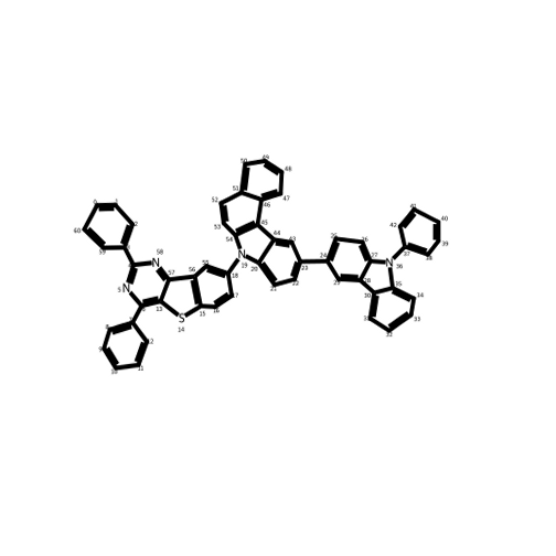 c1ccc(-c2nc(-c3ccccc3)c3sc4ccc(-n5c6ccc(-c7ccc8c(c7)c7ccccc7n8-c7ccccc7)cc6c6c7ccccc7ccc65)cc4c3n2)cc1